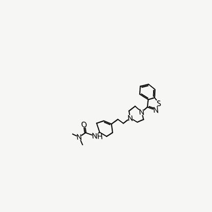 CN(C)C(=O)NC1CC=C(CCN2CCN(c3nsc4ccccc34)CC2)CC1